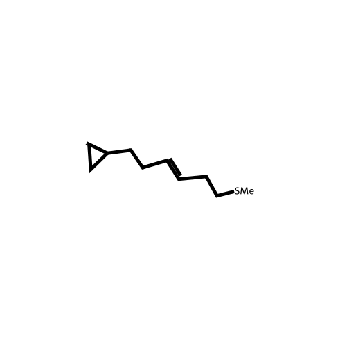 CSCCC=CCCC1[CH]C1